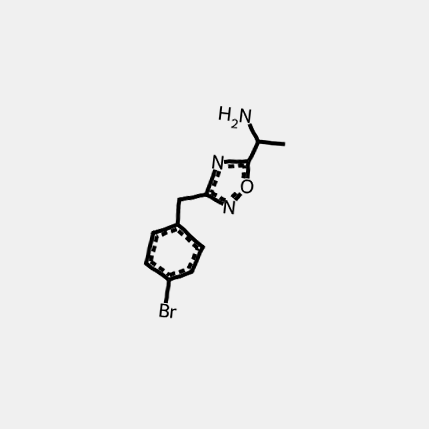 CC(N)c1nc(Cc2ccc(Br)cc2)no1